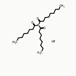 CCCCCCCCC(=O)N(C(=O)CCCCCCC)C(=O)CCCCCCC.F